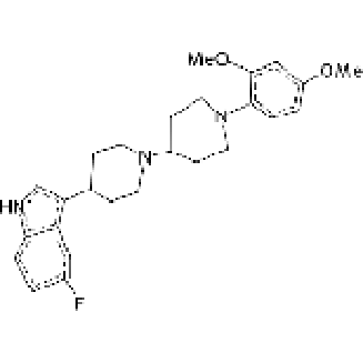 COc1ccc(N2CCC(N3CCC(c4c[nH]c5ccc(F)cc45)CC3)CC2)c(OC)c1